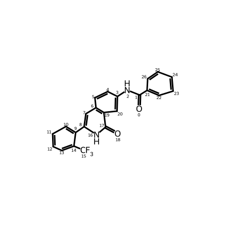 O=C(Nc1ccc2cc(-c3ccccc3C(F)(F)F)[nH]c(=O)c2c1)c1ccccc1